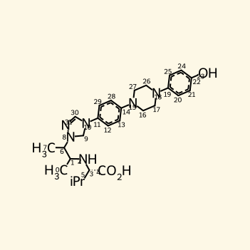 CC(N[C@H](C(=O)O)C(C)C)C(C)N1CN(c2ccc(N3CCN(c4ccc(O)cc4)CC3)cc2)C=N1